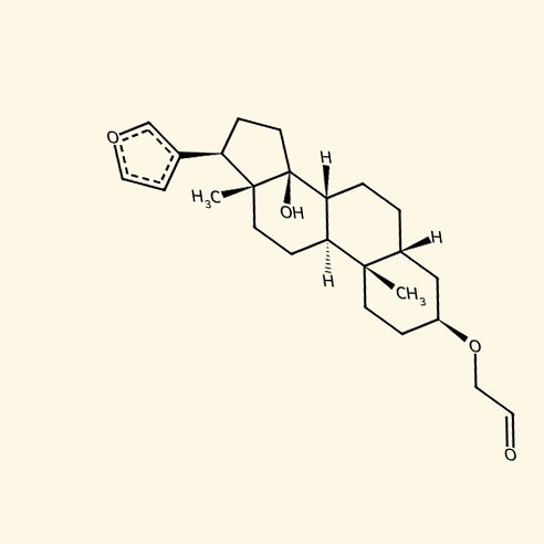 C[C@]12CC[C@H](OCC=O)C[C@H]1CC[C@@H]1[C@@H]2CC[C@]2(C)[C@@H](c3ccoc3)CC[C@]12O